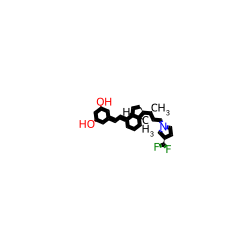 C[C@H](CCN1CC[C@H](C(F)F)C1)[C@H]1CC[C@H]2/C(=C/C=C3C[C@@H](O)C[C@H](O)C3)CCC[C@]12C